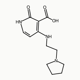 O=C(O)c1c(NCCN2CCCC2)cc[nH]c1=O